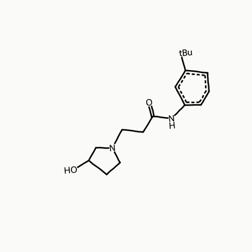 CC(C)(C)c1cccc(NC(=O)CCN2CCC(O)C2)c1